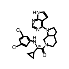 O=C([C@H](Nc1cc(Cl)cc(Cl)c1)C1CC1)N1CCC2CCN(c3ncnc4[nH]ccc34)C2C1